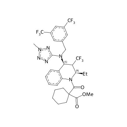 CC[C@@H]1C(C(F)(F)F)[C@H](N(Cc2cc(C(F)(F)F)cc(C(F)(F)F)c2)c2nnn(C)n2)c2ccccc2N1C(=O)C1(C(=O)OC)CCCCC1